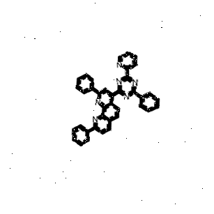 c1ccc(-c2ccc3ccc4c(-c5nc(-c6ccccc6)nc(-c6ccccn6)n5)cc(-c5ccccc5)nc4c3n2)cc1